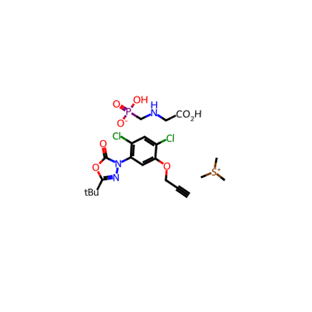 C#CCOc1cc(-n2nc(C(C)(C)C)oc2=O)c(Cl)cc1Cl.C[S+](C)C.O=C(O)CNCP(=O)([O-])O